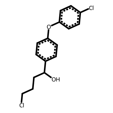 OC(CCCCl)c1ccc(Oc2ccc(Cl)cc2)cc1